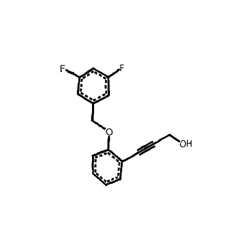 OCC#Cc1ccccc1OCc1cc(F)cc(F)c1